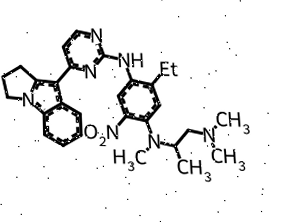 CCc1cc(N(C)C(C)CN(C)C)c([N+](=O)[O-])cc1Nc1nccc(-c2c3n(c4ccccc24)CCC3)n1